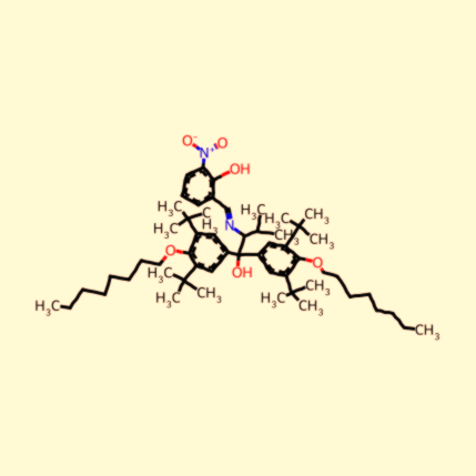 CCCCCCCCOc1c(C(C)(C)C)cc(C(O)(c2cc(C(C)(C)C)c(OCCCCCCCC)c(C(C)(C)C)c2)C(N=Cc2cccc([N+](=O)[O-])c2O)C(C)C)cc1C(C)(C)C